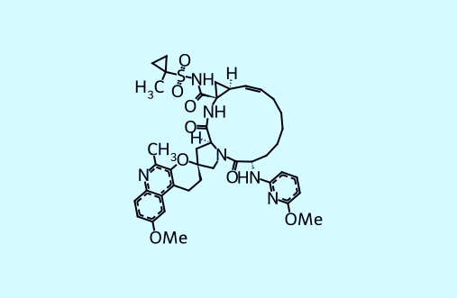 COc1ccc2nc(C)c3c(c2c1)CC[C@]1(C[C@H]2C(=O)N[C@]4(C(=O)NS(=O)(=O)C5(C)CC5)C[C@H]4/C=C\CCCCC[C@H](Nc4cccc(OC)n4)C(=O)N2C1)O3